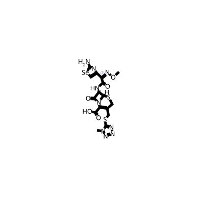 CO/N=C(\C(=O)N[C@@H]1C(=O)N2C(C(=O)O)=C(CSc3nnnn3C)CS[C@H]12)c1c[se]c(N)n1